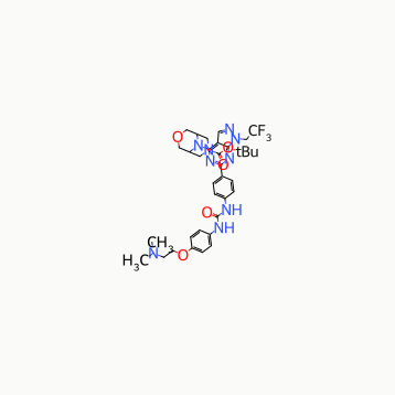 CN(C)CCOc1ccc(NC(=O)Nc2ccc(-c3nc(N4C5COCC4CN(C(=O)OC(C)(C)C)C5)c4cnn(CC(F)(F)F)c4n3)cc2)cc1